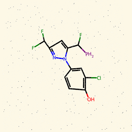 Oc1ccc(-n2nc(C(F)F)cc2C(F)P)cc1Cl